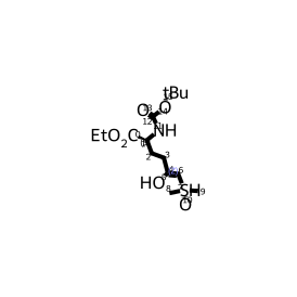 CCOC(=O)[C@H](CC/C(O)=C/[SH](C)(C)=O)NC(=O)OC(C)(C)C